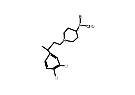 [CH2]C(CCN1CCC(N(C=O)CC)CC1)c1ccc(Cl)c(Cl)c1